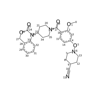 COc1cc(ON2CCC(C#N)CC2)ccc1C(=O)N1CCC(N2C(=O)OCc3ccccc32)CC1